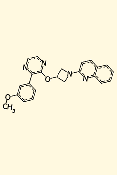 COc1cccc(-c2nccnc2OC2CN(c3ccc4ccccc4n3)C2)c1